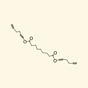 C#CCCC#COC(=O)CCCCCCCC(=O)OC#CCCC#C